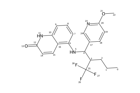 CCCC(C(Nc1cccc2[nH]c(=O)ccc12)c1ccc(OC)nc1)C(F)(F)F